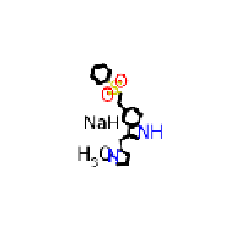 CN1CCC[C@@H]1Cc1c[nH]c2ccc(CCS(=O)(=O)c3ccccc3)cc12.[NaH]